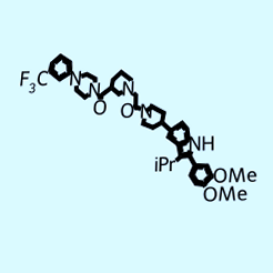 COc1ccc(-c2[nH]c3ccc(C4CCN(C(=O)CN5CCCC(C(=O)N6CCN(c7cccc(C(F)(F)F)c7)CC6)C5)CC4)cc3c2C(C)C)cc1OC